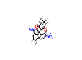 Cc1ccc2c(c1)C1(C(=O)N2)C(C#N)=C(N)OC2=C1C(=O)CC(C)(C)C2